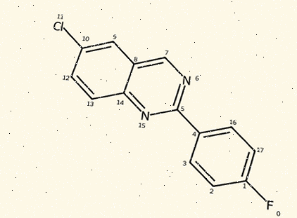 Fc1ccc(-c2ncc3cc(Cl)ccc3n2)cc1